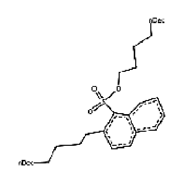 CCCCCCCCCCCCCCOS(=O)(=O)c1c(CCCCCCCCCCCCCC)ccc2ccccc12